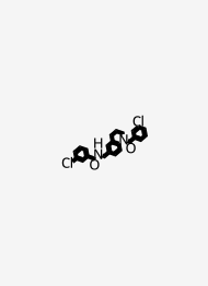 O=C(NCc1ccc2c(c1)CCCN2C(=O)c1cccc(Cl)c1)c1cccc(Cl)c1